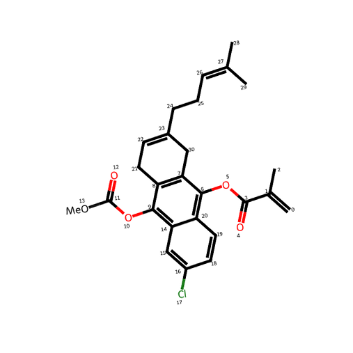 C=C(C)C(=O)Oc1c2c(c(OC(=O)OC)c3cc(Cl)ccc13)CC=C(CCC=C(C)C)C2